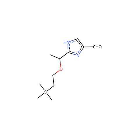 CC(OCC[Si](C)(C)C)c1nc(C=O)c[nH]1